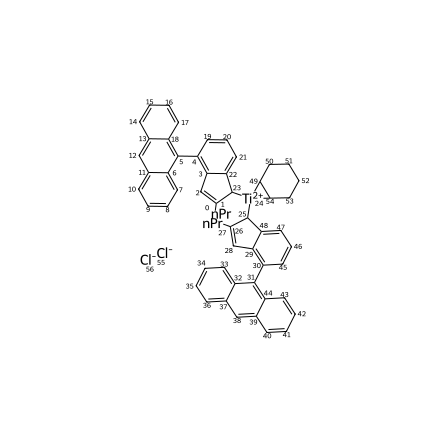 CCCC1=Cc2c(-c3c4ccccc4cc4ccccc34)cccc2[CH]1[Ti+2]1([CH]2C(CCC)=Cc3c(-c4c5ccccc5cc5ccccc45)cccc32)[CH]2CCCC[CH]21.[Cl-].[Cl-]